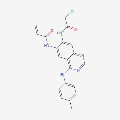 C=CC(=O)Nc1cc2c(Nc3ccc(C)cc3)ncnc2cc1NC(=O)CCl